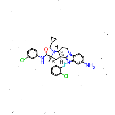 C[C@]1(C(=O)Nc2cccc(Cl)c2)[C@@H](c2cccc(Cl)c2F)[C@@H]2c3nc4cc(N)ccc4n3CC[C@@H]2N1CC1CC1